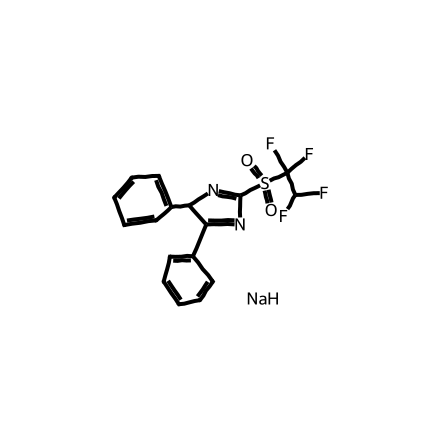 O=S(=O)(C1=NC(c2ccccc2)C(c2ccccc2)=N1)C(F)(F)C(F)F.[NaH]